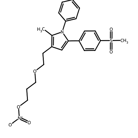 Cc1c(CCOCCCO[N+](=O)[O-])cc(-c2ccc(S(C)(=O)=O)cc2)n1-c1ccccc1